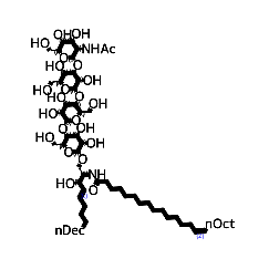 CCCCCCCC/C=C\CCCCCCCCCCCCCC(=O)N[C@@H](CO[C@@H]1O[C@H](CO)[C@@H](O[C@@H]2O[C@H](CO)[C@H](O[C@H]3O[C@H](CO)[C@H](O)[C@H](O[C@@H]4O[C@H](CO)[C@H](O)[C@H](O)[C@H]4NC(C)=O)[C@H]3O)[C@H](O)[C@H]2O)[C@H](O)[C@H]1O)[C@H](O)/C=C/CCCCCCCCCCCCC